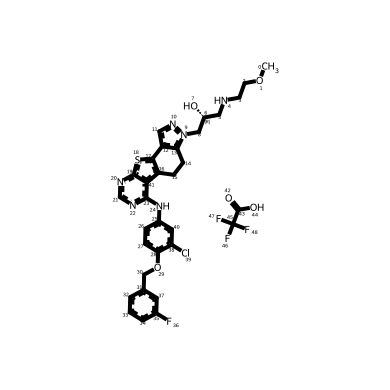 COCCNC[C@@H](O)Cn1ncc2c1CCc1c-2sc2ncnc(Nc3ccc(OCc4cccc(F)c4)c(Cl)c3)c12.O=C(O)C(F)(F)F